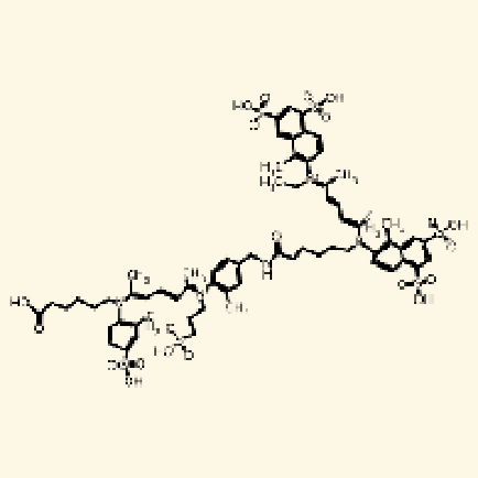 CC\[N+](=C(C)/C=C/C=C(\C)N(CCCCCC(=O)NCc1ccc(/[N+](CCCS(=O)(=O)O)=C(C)/C=C/C=C(\C)N(CCCCCC(=O)O)c2ccc(S(=O)(=O)O)cc2C)c(C)c1)c1ccc2c(S(=O)(=O)O)cc(S(=O)(=O)O)cc2c1C)c1ccc2c(S(=O)(=O)O)cc(S(=O)(=O)O)cc2c1C